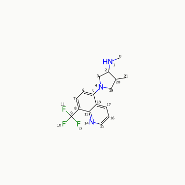 CNC1CN(c2ccc(C(F)(F)F)c3ncccc23)CC1C